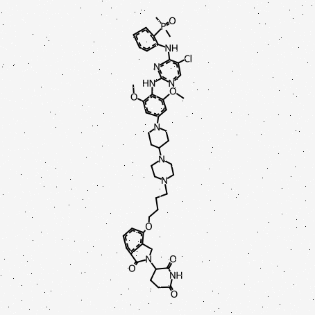 COc1cc(N2CCC(N3CCN(CCCCOc4cccc5c4CN(C4CCC(=O)NC4=O)C5=O)CC3)CC2)cc(OC)c1Nc1ncc(Cl)c(Nc2ccccc2P(C)(C)=O)n1